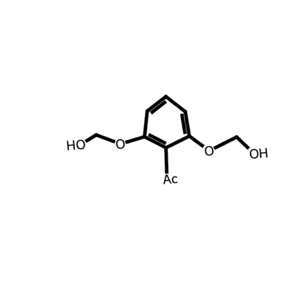 CC(=O)c1c(OCO)cccc1OCO